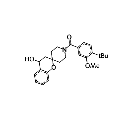 COc1cc(C(=O)N2CCC3(CC2)CC(O)c2ccccc2O3)ccc1C(C)(C)C